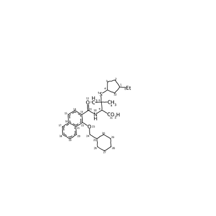 CCC1CCC(SC(C)(C)C(NC(=O)c2ccc3ccccc3c2OCC2CCCCC2)C(=O)O)C1